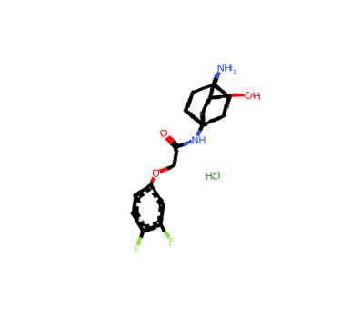 Cl.NC12CCC(NC(=O)COc3ccc(F)c(F)c3)(CC1)CC2O